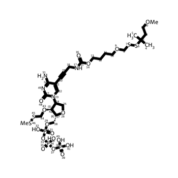 COCCC(C)(C)SSCOCCCCOC(=O)NCC#Cc1cn(C2CO[C@H](COP(=O)(O)OP(=O)(O)OP(=O)(O)O)[C@H]2OCSSC)c(=O)nc1N